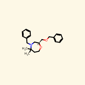 CC1(C)CCO[C@H](COCc2ccccc2)CN1Cc1ccccc1